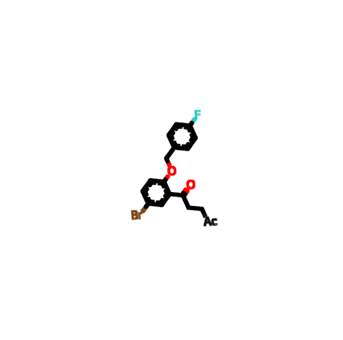 CC(=O)CCC(=O)c1cc(Br)ccc1OCc1ccc(F)cc1